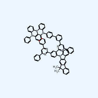 CC1(C)c2ccccc2-c2cc3c4ccccc4n(-c4ccc(-c5nc(-c6ccccc6)cc(-c6ccccc6)n5)cc4-c4nc(-c5ccccc5)cc(-c5cccc(-c6ccc(N7c8ccccc8B8c9ccccc9N(c9ccccc9)c9cccc7c98)cc6)c5)n4)c3cc21